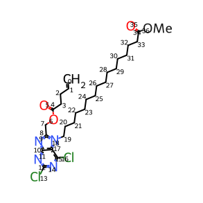 C=CCCC(=O)OCc1nc2nc(Cl)nc(Cl)c2n1CCCCCCCCCCCCCCCC(=O)OC